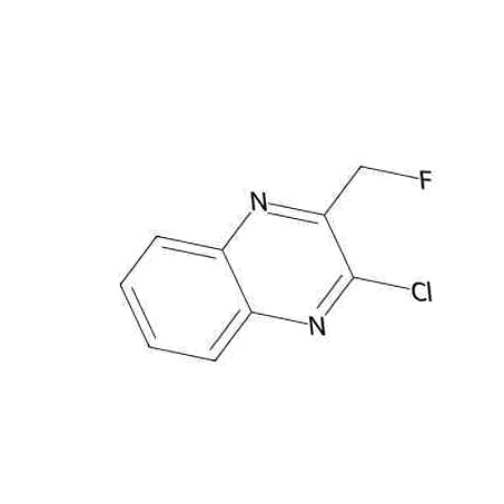 FCc1nc2ccccc2nc1Cl